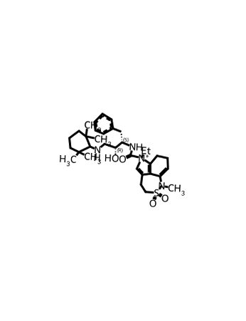 CC[N+]1(C(=O)N[C@@H](Cc2ccccc2)[C@H](O)CNC2C(C)(C)CCCC2(C)C)C=C2CCS(=O)(=O)N(C)C3=CCCC1=C23